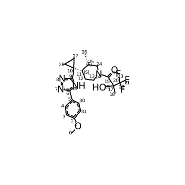 COc1ccc(-c2nnc(C3([C@H]4CCN(C(=O)C(C)(O)C(F)(F)F)C[C@H]4C)CC3)[nH]2)cc1